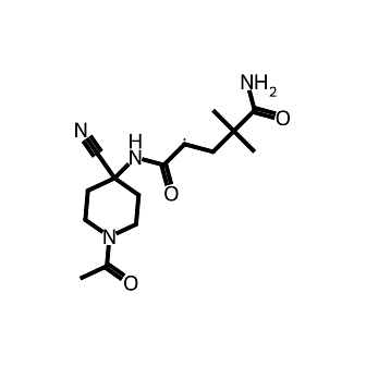 CC(=O)N1CCC(C#N)(NC(=O)[CH]CC(C)(C)C(N)=O)CC1